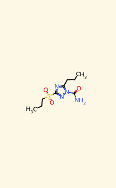 CCCc1nc(S(=O)(=O)CCC)nn1C(N)=O